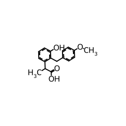 COc1ccc(Cc2c(O)cccc2C(C)C(=O)O)cc1